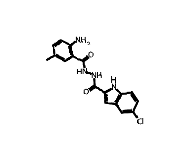 Cc1ccc(N)c(C(=O)NNC(=O)c2cc3cc(Cl)ccc3[nH]2)c1